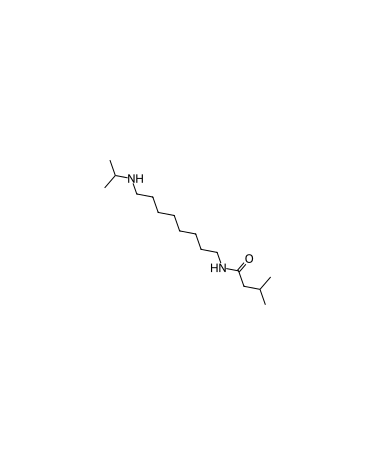 CC(C)CC(=O)NCCCCCCCCNC(C)C